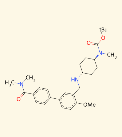 COc1ccc(-c2ccc(C(=O)N(C)C)cc2)cc1CN[C@H]1CC[C@H](N(C)C(=O)OC(C)(C)C)CC1